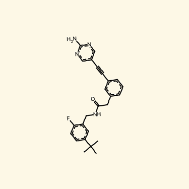 CC(C)(C)c1ccc(F)c(CNC(=O)Cc2cccc(C#Cc3cnc(N)nc3)c2)c1